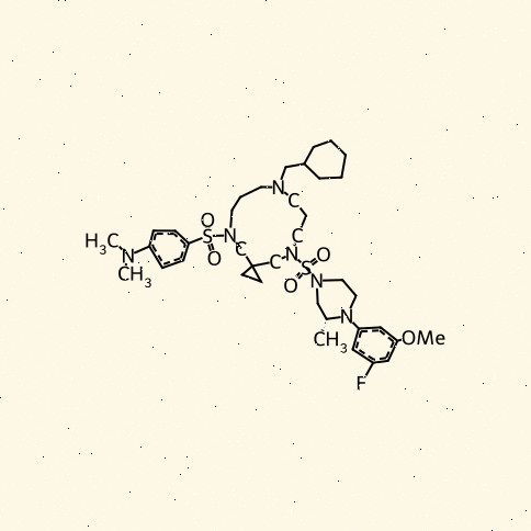 COc1cc(F)cc(N2CCN(S(=O)(=O)N3CCCN(CC4CCCCC4)CCCN(S(=O)(=O)c4ccc(N(C)C)cc4)CC4(CC4)C3)C[C@H]2C)c1